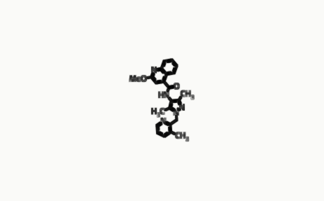 COc1cc(C(=O)Nc2c(C)nn(Cc3ncccc3C)c2C)c2ccccc2n1